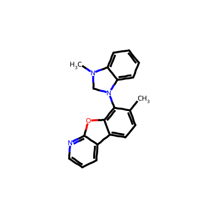 Cc1ccc2c(oc3ncccc32)c1N1CN(C)c2ccccc21